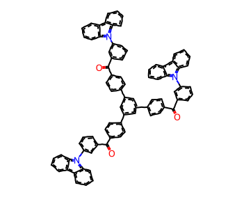 O=C(c1ccc(-c2cc(-c3ccc(C(=O)c4cccc(-n5c6ccccc6c6ccccc65)c4)cc3)cc(-c3ccc(C(=O)c4cccc(-n5c6ccccc6c6ccccc65)c4)cc3)c2)cc1)c1cccc(-n2c3ccccc3c3ccccc32)c1